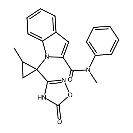 CC1CC1(c1noc(=O)[nH]1)n1c(C(=O)N(C)c2ccccc2)cc2ccccc21